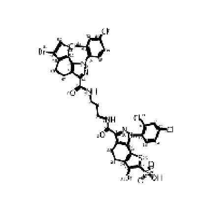 O=C(NCCCNC(=O)c1nn(-c2ccc(Cl)cc2Cl)c2c1CCc1c-2sc(S(=O)(=O)O)c1Br)c1nn(-c2ccc(Cl)cc2Cl)c2c1CCc1c(Br)csc1-2